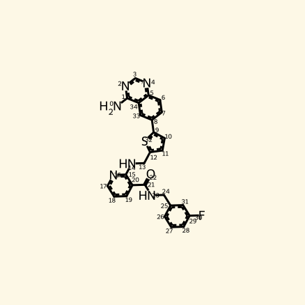 Nc1ncnc2ccc(-c3ccc(CNc4ncccc4C(=O)NCc4cccc(F)c4)s3)cc12